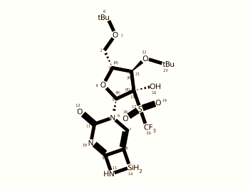 CC(C)(C)OC[C@H]1O[C@@H](n2cc3c(nc2=O)N[SiH2]3)[C@](O)(S(=O)(=O)C(F)(F)F)[C@@H]1OC(C)(C)C